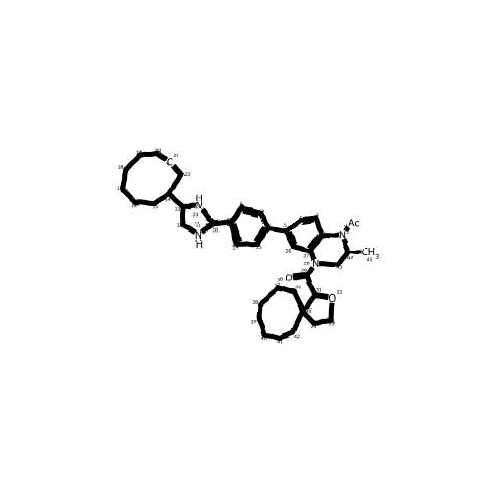 CC(=O)N1c2ccc(-c3ccc(C4NCC(C5CCCCCCCC5)N4)cc3)cc2N(C(=O)C2OCCC23CCCCCCC3)C[C@@H]1C